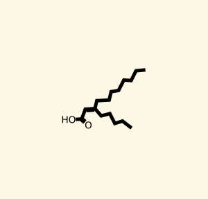 CCCCCCCC/C(=C/C(=O)O)CCCCC